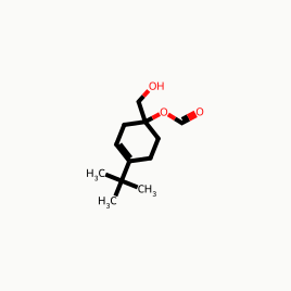 CC(C)(C)C1=CCC(CO)(OC=O)CC1